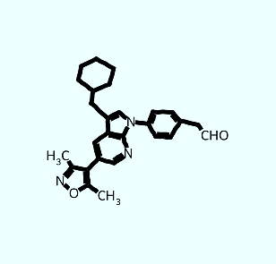 Cc1noc(C)c1-c1cnc2c(c1)c(CC1CCCCC1)cn2-c1ccc(CC=O)cc1